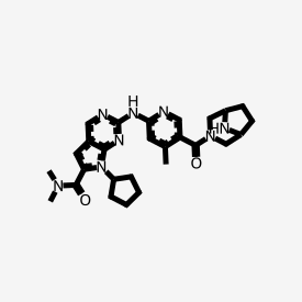 Cc1cc(Nc2ncc3cc(C(=O)N(C)C)n(C4CCCC4)c3n2)ncc1C(=O)N1CC2CCC(C1)N2